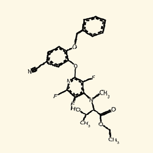 CCOC(=O)C(C(C)O)N(C)c1c(F)c(F)nc(Oc2cc(C#N)ccc2OCc2ccccc2)c1F